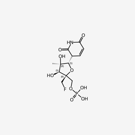 C[C@@]1(O)[C@H](O)[C@@](CF)(COP(=O)(O)O)O[C@H]1C1C=CC(=O)NC1=O